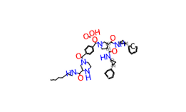 CCCCCCNC(=O)C1CN(C(=O)c2ccc(C(=O)N3C[C@@H](C(=O)N[C@H]4C[C@@H]4c4ccccc4)[C@H](C(=O)N[C@H]4C[C@@H]4c4ccccc4)C3)cc2)CCN1.O=CO